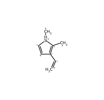 C=CC1=C(C)[SiH](C)C=C1